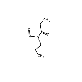 CCCN(N=O)C(=O)CC